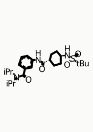 CC(C)N(C(=O)c1cccc(NC(=O)[C@H]2CC[C@H](NS(=O)(=O)C(C)(C)C)CC2)c1)C(C)C